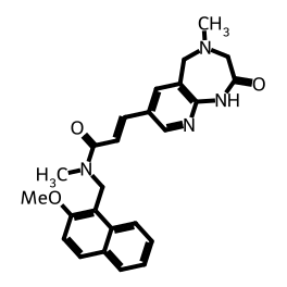 COc1ccc2ccccc2c1CN(C)C(=O)/C=C/c1cnc2c(c1)CN(C)CC(=O)N2